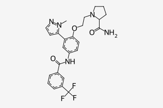 Cn1nccc1-c1cc(NC(=O)c2cccc(C(F)(F)F)c2)ccc1OCCN1CCCC1C(N)=O